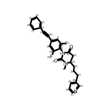 CN1C(=O)N(c2c(F)cc(C#Cc3ccccc3)cc2F)C(=O)CC1CCCc1cccnc1